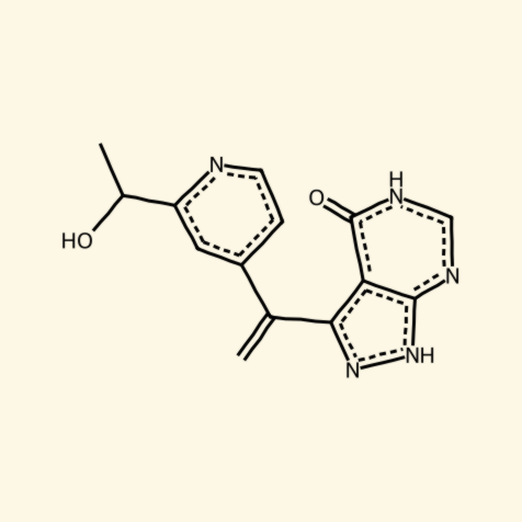 C=C(c1ccnc(C(C)O)c1)c1n[nH]c2nc[nH]c(=O)c12